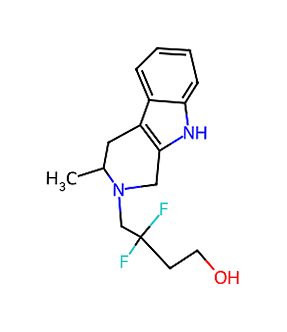 CC1Cc2c([nH]c3ccccc23)CN1CC(F)(F)CCO